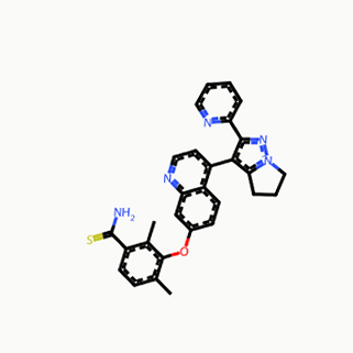 Cc1ccc(C(N)=S)c(C)c1Oc1ccc2c(-c3c(-c4ccccn4)nn4c3CCC4)ccnc2c1